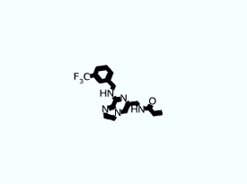 C=CC(=O)NCc1cn2ccnc2c(NCc2cccc(C(F)(F)F)c2)n1